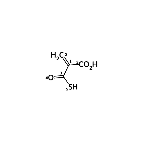 C=C(C(=O)O)C(=O)S